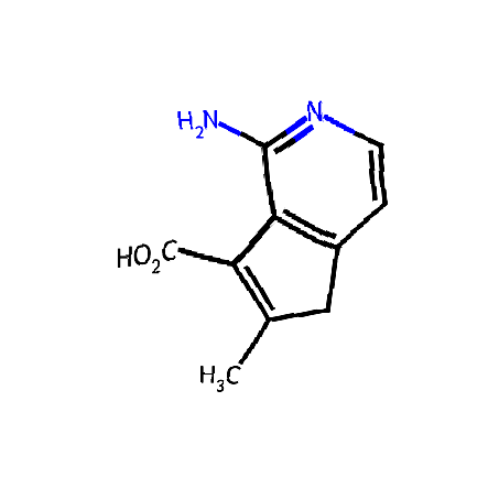 CC1=C(C(=O)O)c2c(ccnc2N)C1